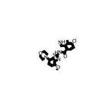 COc1ccc(N2CCOCC2)c2sc(NC(=O)c3ccc(Cl)c(C)c3CN)nc12